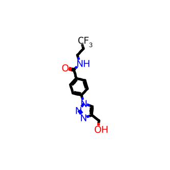 O=C(NCCC(F)(F)F)c1ccc(-n2cc(CO)nn2)cc1